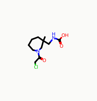 CC1(CNC(=O)O)CCCCN(C(=O)CCl)C1